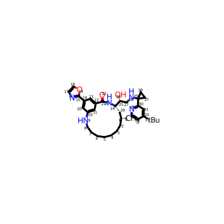 C[C@@H]1CCCCCCCNc2cc(cc(-c3ncco3)c2)C(=O)N[C@H]([C@H](O)CNC2(c3cc(C(C)(C)C)ccn3)CC2)C1